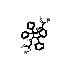 CCOC(CNCC(c1ccccc1)(c1ccccc1)C(NCC(OCC)OCC)C(c1ccccc1)c1ccccc1)OCC